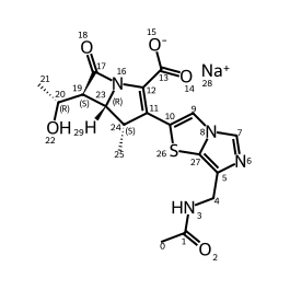 CC(=O)NCc1ncn2cc(C3=C(C(=O)[O-])N4C(=O)[C@H]([C@@H](C)O)[C@H]4[C@H]3C)sc12.[Na+]